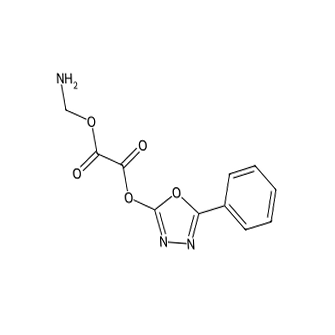 NCOC(=O)C(=O)Oc1nnc(-c2ccccc2)o1